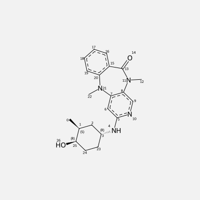 C[C@H]1C[C@H](Nc2cc3c(cn2)N(C)C(=O)c2ccccc2N3C)CC[C@H]1O